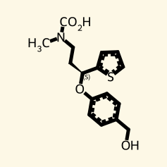 CN(CC[C@H](Oc1ccc(CO)cc1)c1cccs1)C(=O)O